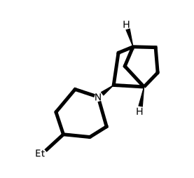 CCC1CCN([C@H]2C[C@@H]3CC[C@H]2C3)CC1